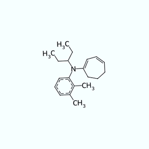 CCC(CC)N(C1=CC=CCCC1)c1cccc(C)c1C